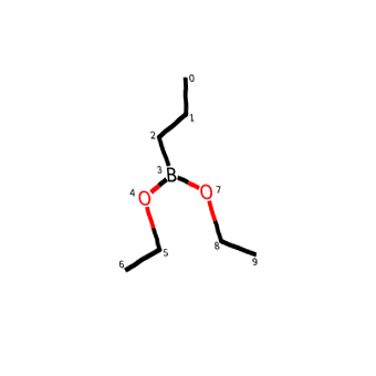 CCCB(OCC)OCC